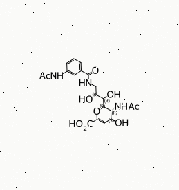 CC(=O)Nc1cccc(C(=O)NC[C@@H](O)[C@@H](O)[C@@H]2OC(C(=O)O)=C[C@H](O)[C@H]2NC(C)=O)c1